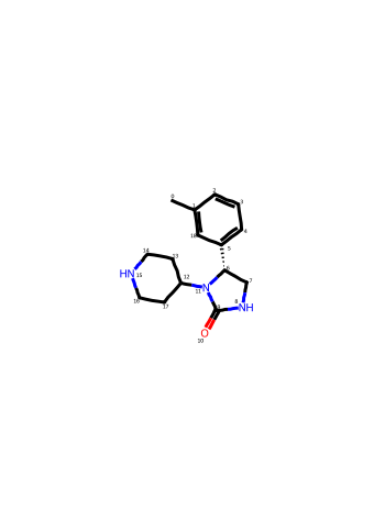 Cc1cccc([C@@H]2CNC(=O)N2C2CCNCC2)c1